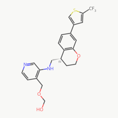 OCOCc1ccncc1NC[C@H]1CCOc2cc(-c3csc(C(F)(F)F)c3)ccc21